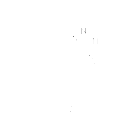 Cc1ccc(-c2nnn[nH]2)cc1Cl